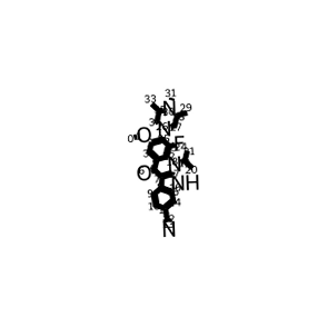 COc1cc2c(=O)c3c4ccc(C#N)cc4[nH]c3n(C(C)C)c2c(F)c1N1CC(C)N(C)C(C)C1